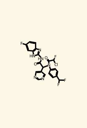 O=C(Nc1nc2ccc(F)cc2[nH]1)C(c1cncnc1)N(C(=O)C(F)Cl)c1ccc(C(F)F)cc1